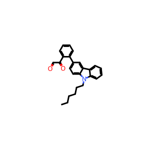 CCCCCCn1c2ccccc2c2cc(-c3ccccc3C(=O)C=O)ccc21